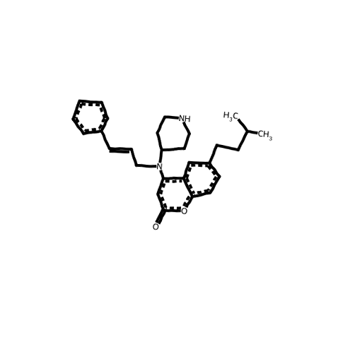 CC(C)CCc1ccc2oc(=O)cc(N(CC=Cc3ccccc3)C3CCNCC3)c2c1